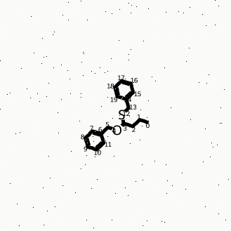 CCCC(OCc1ccccc1)SCc1ccccc1